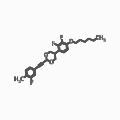 CCCCCCOc1ccc(C2COC(C#Cc3ccc(C)c(F)c3)OC2)c(F)c1F